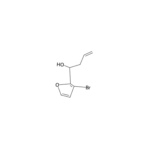 C=CCC(O)c1occc1Br